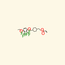 C=CC(=O)OCCC1CCC(COc2ccc(OCC)c(C(F)(F)F)c2C(F)(F)F)CC1